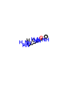 C=N/C(=C\N(N)CC(=O)Nc1ccccc1)CCCc1c[nH]c(N)n1